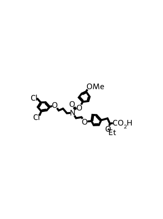 CCOC(Cc1ccc(OCCN(CCCOc2cc(Cl)cc(Cl)c2)C(=O)Oc2ccc(OC)cc2)cc1)C(=O)O